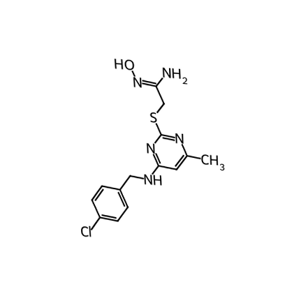 Cc1cc(NCc2ccc(Cl)cc2)nc(SCC(N)=NO)n1